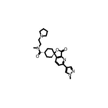 CN(CCN1CCCC1)C(=O)[C@H]1CC[C@@]2(CC1)OC(=O)c1nc(-c3cnn(C)c3)ccc12